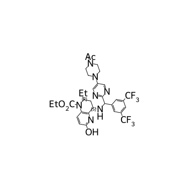 CCOC(=O)N1c2ccc(O)nc2[C@@H](NC(c2cc(C(F)(F)F)cc(C(F)(F)F)c2)c2ncc(N3CCN(C(C)=O)CC3)cn2)C[C@H]1CC